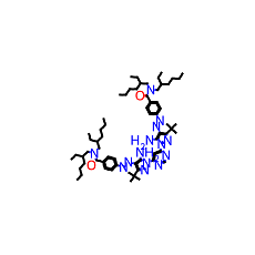 CCCCC(CC)CN(CC(CC)CCCC)C(=O)c1ccc(/N=N/c2c(C(C)(C)C)nn(-c3cc(-n4nc(C(C)(C)C)c(/N=N/c5ccc(C(=O)N(CC(CC)CCCC)CC(CC)CCCC)cc5)c4N)ncn3)c2N)cc1